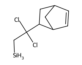 [SiH3]CC(Cl)(Cl)C1CC2C=CC1C2